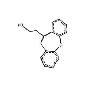 OCCC1Sc2ccccc2Oc2ccccc21